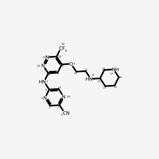 N#Cc1cnc(Nc2cc(OCCNC3CCCNC3)c(C(F)(F)F)nn2)cn1